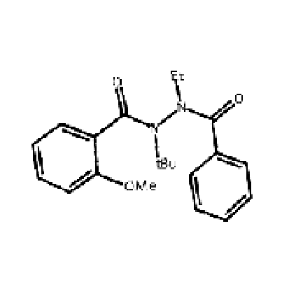 CCN(C(=O)c1ccccc1)N(C(=O)c1ccccc1OC)C(C)(C)C